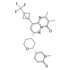 Cc1nc2c(C34CC(C(F)(F)F)(C3)C4)cc([C@H]3CCO[C@@H](c4ccc(=O)n(C)c4)C3)nn2c(=O)c1C